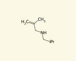 C=C(C)CNCC(C)C